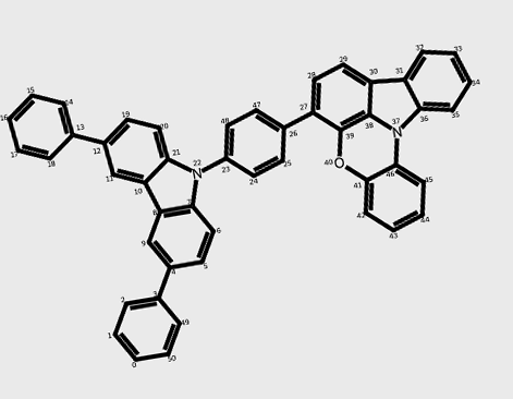 c1ccc(-c2ccc3c(c2)c2cc(-c4ccccc4)ccc2n3-c2ccc(-c3ccc4c5ccccc5n5c4c3Oc3ccccc3-5)cc2)cc1